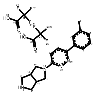 Cc1cccc(-c2ccc(N3CC4CNCC4C3)nn2)c1.O=C(O)C(F)(F)F.O=C(O)C(F)(F)F